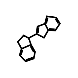 C1=C(C2CCc3ccccc32)Cc2ccccc21